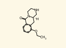 CCOc1cccc2c1C[C@@H]1CNCCN1C2=O